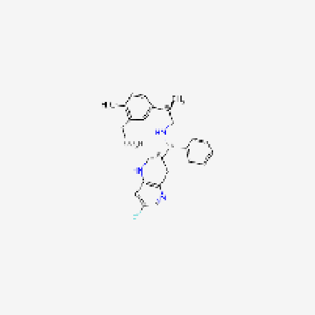 Cc1ccc([C@@H](C)CN[C@H](c2ccccc2)[C@H]2CNc3cc(F)cnc3C2)cc1CC(=O)O